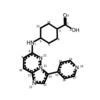 O=C(O)C1CCC(Nc2ccc3ncc(-c4ccncc4)n3n2)CC1